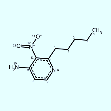 CCCCCc1nccc(N)c1[N+](=O)[O-]